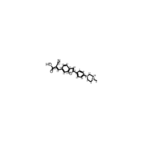 CN1CCN(c2ccc(-c3cc4ccc(/C=C(\C#N)C(=O)O)cc4o3)cc2)CC1